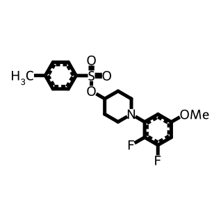 COc1cc(F)c(F)c(N2CCC(OS(=O)(=O)c3ccc(C)cc3)CC2)c1